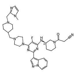 Cn1ccnc1CN1CCC(CN2CCN(c3nc(-c4cnn5ccccc45)nc(N[C@@H]4CCCN(C(=O)CC#N)C4)c3F)CC2)CC1